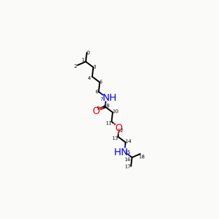 CC(C)CCCCNC(=O)CCOCCNC(C)C